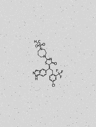 CS(=O)(=O)N1CCCN(C2=NC(=O)C(=C(Cc3ccc(Cl)cc3C(F)(F)F)c3ccc4[nH]ncc4c3)S2)CC1